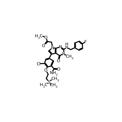 COC(=O)Cn1cc(-c2cc(Cl)c(OCCS(C)(C)C)c(C(N)=O)c2)c2c(=O)n(C)c(NCc3ccc(F)cc3)nc21